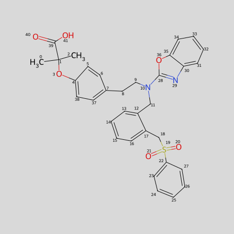 CC(C)(Oc1ccc(CCN(Cc2ccccc2CS(=O)(=O)c2ccccc2)c2nc3ccccc3o2)cc1)C(=O)O